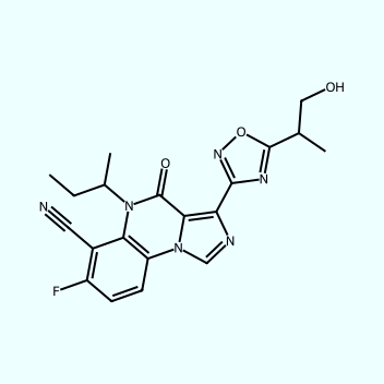 CCC(C)n1c(=O)c2c(-c3noc(C(C)CO)n3)ncn2c2ccc(F)c(C#N)c21